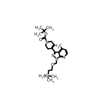 Cc1ccnc2c1c(C1=CCN(C(=O)OC(C)(C)C)CC1)nn2COCC[Si](C)(C)C